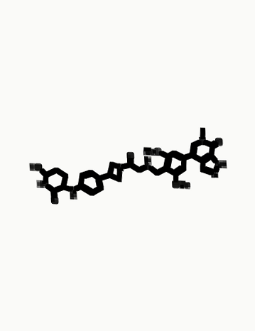 COc1cc(-c2cn(C)c(=O)c3[nH]ncc23)cc(OC)c1CNCC(=O)N1CC(c2ccc(NC3CCC(O)NC3=O)cc2)C1